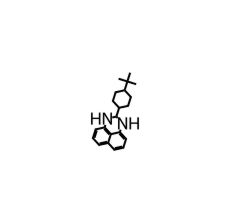 CC(C)(C)C1CCC(C2Nc3cccc4cccc(c34)N2)CC1